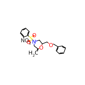 C=C1CN(S(=O)(=O)c2ccccc2[N+](=O)[O-])CC(COCc2ccccc2)O1